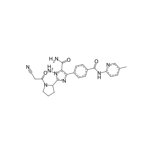 Cc1ccc(NC(=O)c2ccc(-c3nc(C4CCCN4C(=O)CC#N)n(N)c3C(N)=O)cc2)nc1